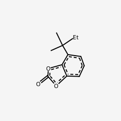 CCC(C)(C)c1cccc2oc(=O)oc12